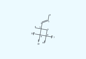 CC=CC1(C)CC(F)(F)C1(F)F